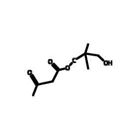 CC(=O)CC(=O)OCC(C)(C)CO